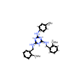 COc1ccccc1CNc1nc(NCc2ccccc2OC)nc(Nc2ccc(C(C)(C)C)cc2)n1